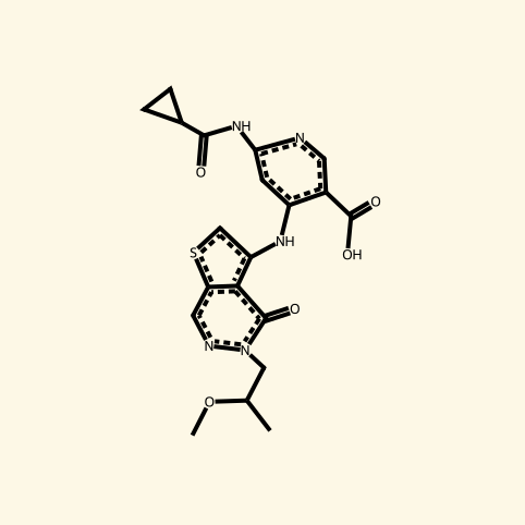 COC(C)Cn1ncc2scc(Nc3cc(NC(=O)C4CC4)ncc3C(=O)O)c2c1=O